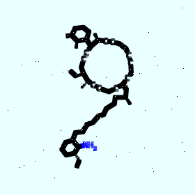 CC[C@@H]1CCCC(CCCCCCCCC[C@H](C)CC2CCCCCCCC[C@H](C)C(C3CCCC(C)[C@@H]3C)CCC[C@H](CC)[C@@H](C)CCCC2)C1N